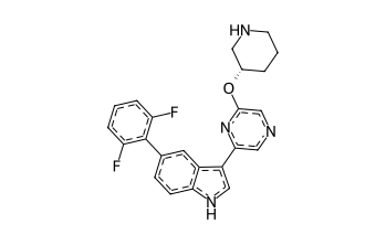 Fc1cccc(F)c1-c1ccc2[nH]cc(-c3cncc(O[C@H]4CCCNC4)n3)c2c1